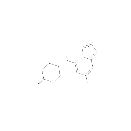 Cc1cc(N[C@H]2CC[C@H](N)CC2)n2nccc2n1